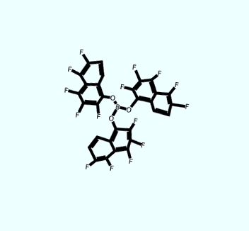 Fc1ccc2c(OB(Oc3c(F)c(F)c(F)c4c(F)c(F)ccc34)Oc3c(F)c(F)c(F)c4c(F)c(F)ccc34)c(F)c(F)c(F)c2c1F